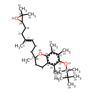 C/C(=C\CC[C@]1(C)CCc2c(C)c(O[Si](C)(C)C(C)(C)C)c(C)c(C)c2O1)CCC1OC1(C)C